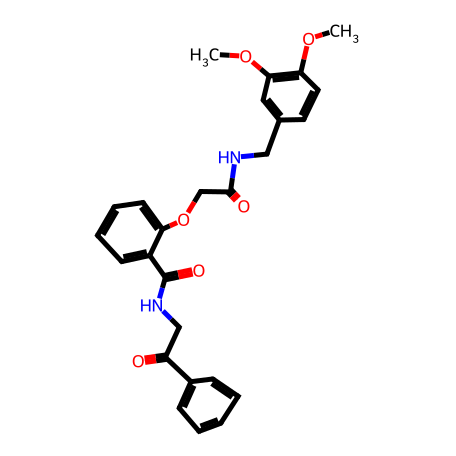 COc1ccc(CNC(=O)COc2ccccc2C(=O)NCC(=O)c2ccccc2)cc1OC